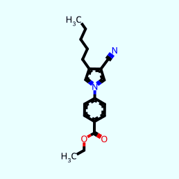 CCCCCc1cn(-c2ccc(C(=O)OCC)cc2)cc1C#N